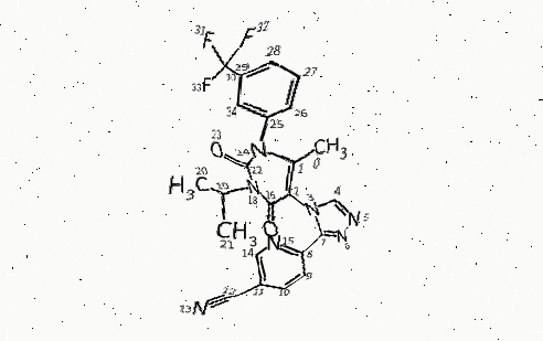 Cc1c(-n2cnnc2-c2ccc(C#N)cn2)c(=O)n(C(C)C)c(=O)n1-c1cccc(C(F)(F)F)c1